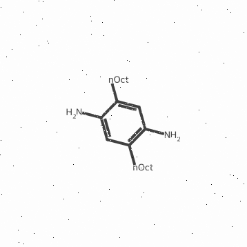 CCCCCCCCc1cc(N)c(CCCCCCCC)cc1N